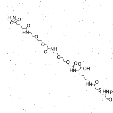 NS(=O)(=O)CCCC(=O)NCCOCCOCC(=O)NCCOCCOCC(=O)N[C@@H](CCCCNC(=O)CSC[C@@H](C=O)NP)C(=O)O